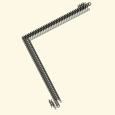 N.N.N.N.N.N.N.N.N.N.N.N.N.N.N.N.N.N.N.N.N.N.N.N.N.N.N.N.N.N.N.N.N.N.N.N.N.N.N.N.N.N.N.N.N.N.N.N.N.N.N.N.N.N.N.N.N.N.N.N.N.N.N.N.N.N.N.N.N.N.N.N.N.N.N.N.O.O.O.O.O.O.O.O